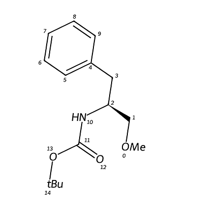 COC[C@H](Cc1ccccc1)NC(=O)OC(C)(C)C